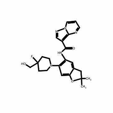 CC1(C)Cc2cc(NC(=O)c3cnn4cccnc34)c(N3CCC(F)(CO)CC3)cc2O1